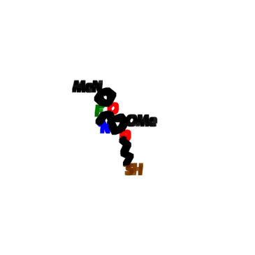 CNc1ccc(Oc2ccnc3cc(OC/C=C/CCS)c(OC)cc23)c(F)c1